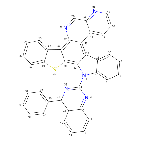 C1=CC2=NC(n3c4ccccc4c4c5c6cccnc6cnc5c5c6ccccc6sc5c43)=NC(c3ccccc3)C2C=C1